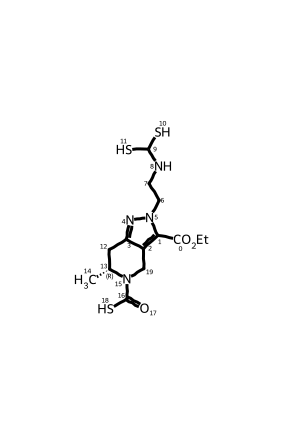 CCOC(=O)c1c2c(nn1CCNC(S)S)C[C@@H](C)N(C(=O)S)C2